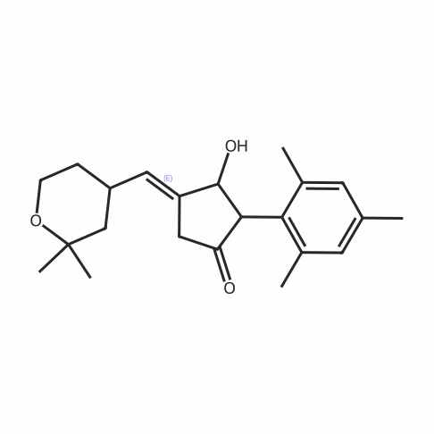 Cc1cc(C)c(C2C(=O)C/C(=C\C3CCOC(C)(C)C3)C2O)c(C)c1